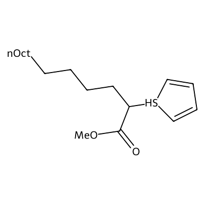 CCCCCCCCCCCCC(C(=O)OC)[SH]1C=CC=C1